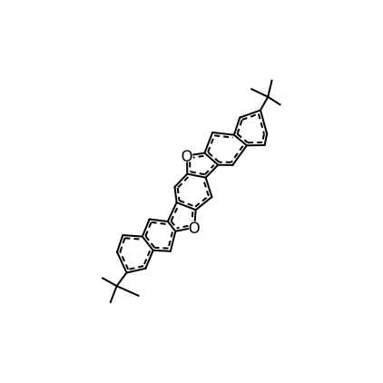 CC(C)(C)c1ccc2cc3c(cc2c1)oc1cc2c(cc13)oc1cc3cc(C(C)(C)C)ccc3cc12